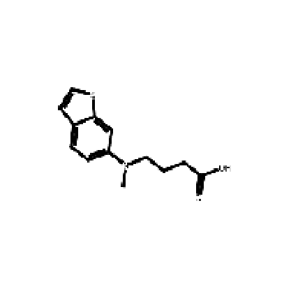 CN(CCCC(=O)O)c1ccc2ccsc2c1